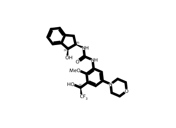 COc1c(NC(=O)N[C@@H]2Cc3ccccc3[C@@H]2O)cc(N2CCOCC2)cc1[C@H](O)C(F)(F)F